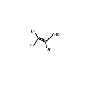 C/C(=C(\C=O)C(C)C)C(C)C